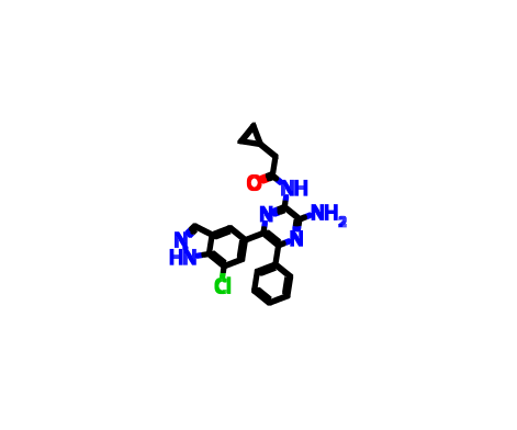 Nc1nc(-c2ccccc2)c(-c2cc(Cl)c3[nH]ncc3c2)nc1NC(=O)CC1CC1